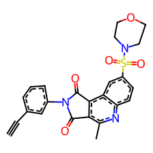 C#Cc1cccc(N2C(=O)c3c(C)nc4ccc(S(=O)(=O)N5CCOCC5)cc4c3C2=O)c1